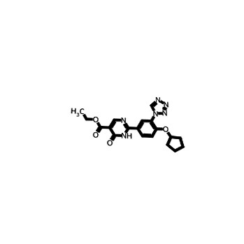 CCOC(=O)c1cnc(-c2ccc(OC3CCCC3)c(-n3cnnn3)c2)[nH]c1=O